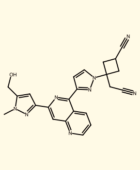 Cn1nc(-c2cc3ncccc3c(-c3ccn(C4(CC#N)CC(C#N)C4)n3)n2)cc1CO